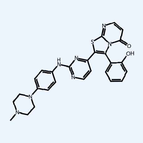 CN1CCN(c2ccc(Nc3nccc(-c4sc5nccc(=O)n5c4-c4ccccc4O)n3)cc2)CC1